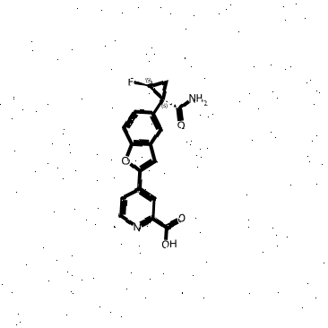 NC(=O)[C@@]1(c2ccc3oc(-c4ccnc(C(=O)O)c4)cc3c2)C[C@@H]1F